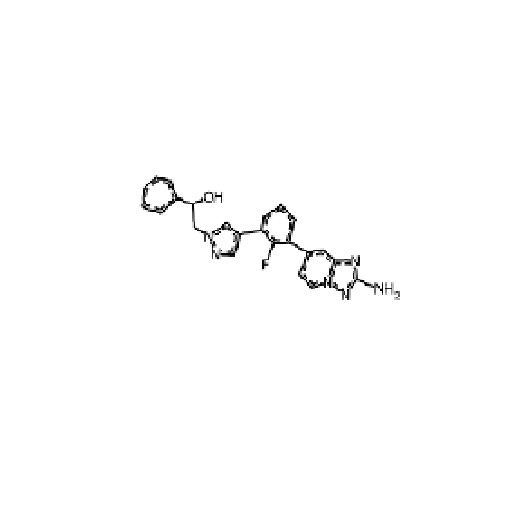 Nc1nc2cc(-c3cccc(-c4cnn(C[C@H](O)c5ccccc5)c4)c3F)ccn2n1